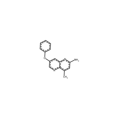 Cc1cc(N)nc2cc(Oc3ccccc3)cnc12